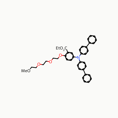 CCOC(=O)c1cc(N(c2ccc(-c3ccccc3)cc2)c2ccc(-c3ccccc3)cc2)ccc1OCCOCCOCCOC